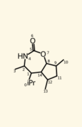 CC(C)C1C(C)NC(=O)OC2C(C)CC(C)C21